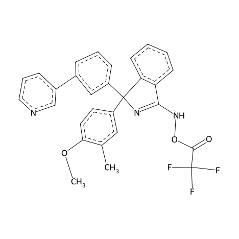 COc1ccc(C2(c3cccc(-c4cccnc4)c3)N=C(NOC(=O)C(F)(F)F)c3ccccc32)cc1C